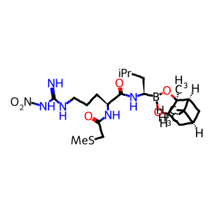 CSCC(=O)N[C@@H](CCCNC(=N)N[N+](=O)[O-])C(=O)N[C@@H](CC(C)C)B1O[C@@H]2C[C@@H]3C[C@@H](C3(C)C)[C@]2(C)O1